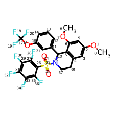 COc1cc2c(c(OC)c1)C(c1cccc(OC(F)(F)F)c1)N(S(=O)(=O)c1c(F)c(F)c(F)c(F)c1F)CC2